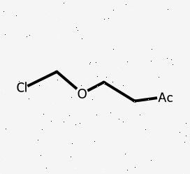 CC(=O)CCOCCl